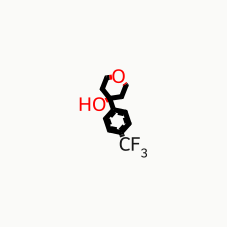 OC1(c2ccc(C(F)(F)F)cc2)CCOCC1